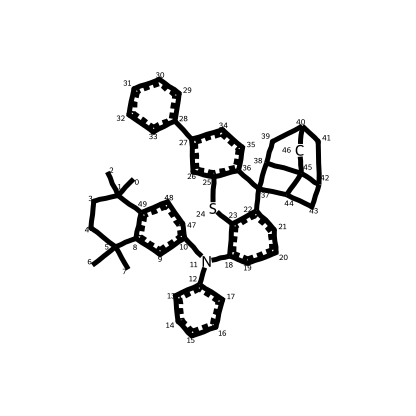 CC1(C)CCC(C)(C)c2cc(N(c3ccccc3)c3cccc4c3Sc3cc(-c5ccccc5)ccc3C43C4CC5CC6CC3C64C5)ccc21